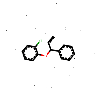 C=CC(Oc1ccccc1Cl)c1ccccc1